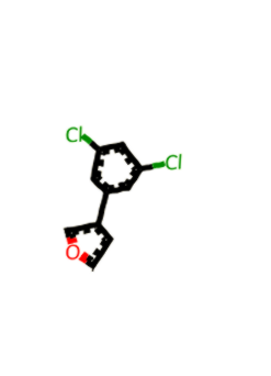 Clc1cc(Cl)cc(-c2c[c]oc2)c1